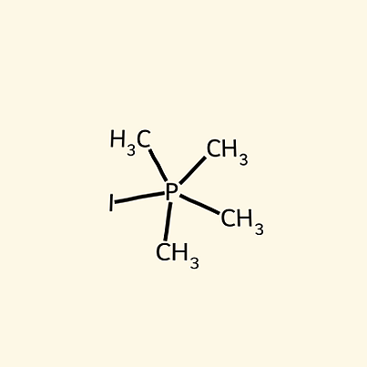 CP(C)(C)(C)I